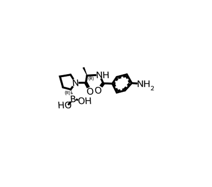 C[C@@H](NC(=O)c1ccc(N)cc1)C(=O)N1CCC[C@H]1B(O)O